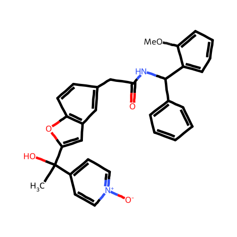 COc1ccccc1C(NC(=O)Cc1ccc2oc(C(C)(O)c3cc[n+]([O-])cc3)cc2c1)c1ccccc1